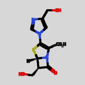 O=C(O)C1=C(n2cnc(CO)c2)S[C@@H]2[C@@H](CO)C(=O)N12